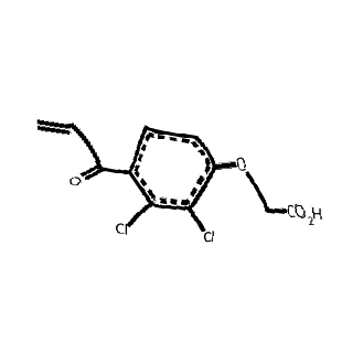 C=CC(=O)c1ccc(OCC(=O)O)c(Cl)c1Cl